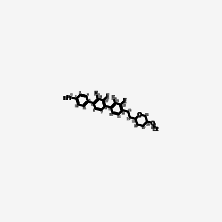 CCCc1ccc(-c2ccc(-c3ccc(CCC4CCC(OCC)CO4)c(F)c3F)c(F)c2F)cc1